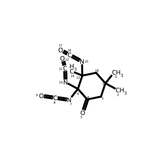 CC1(C)CC(=O)C(N=C=O)(N=C=O)C(C)(N=C=O)C1